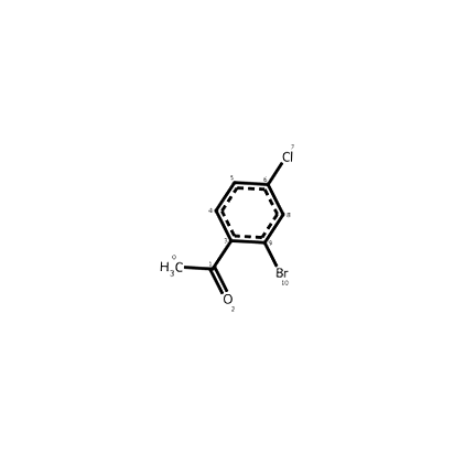 CC(=O)c1ccc(Cl)cc1Br